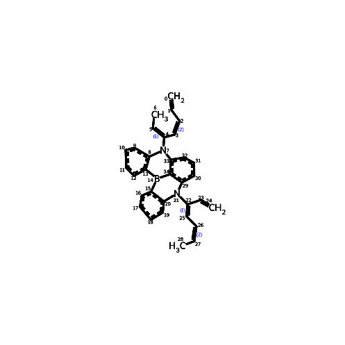 C=C/C=C\C(=C/C)N1c2ccccc2B2c3ccccc3N(/C(C=C)=C/C=C\C)c3cccc1c32